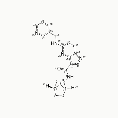 O=C(N[C@H]1C[C@H]2CC[C@H]1C2)c1cnn2ccc(NCc3cccnc3)nc12